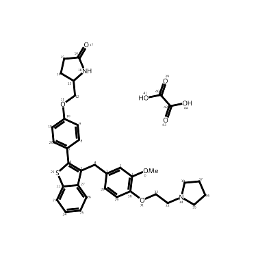 COc1cc(Cc2c(-c3ccc(OCC4CCC(=O)N4)cc3)sc3ccccc23)ccc1OCCN1CCCC1.O=C(O)C(=O)O